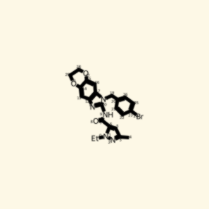 CCn1nc(C)cc1C(=O)Nc1nc2cc3c(cc2n1Cc1ccc(Br)cc1)OCCO3